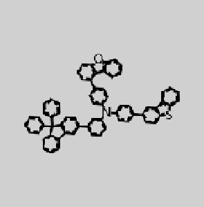 c1ccc(C2(c3ccccc3)c3ccccc3-c3cc(-c4cccc(N(c5ccc(-c6ccc7sc8ccccc8c7c6)cc5)c5ccc(-c6cccc7oc8ccccc8c67)cc5)c4)ccc32)cc1